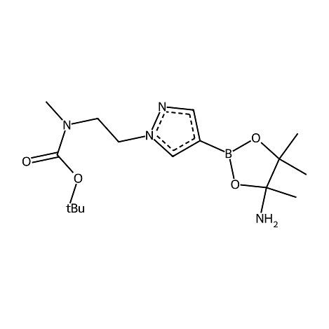 CN(CCn1cc(B2OC(C)(C)C(C)(N)O2)cn1)C(=O)OC(C)(C)C